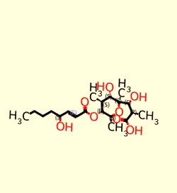 CCCC[C@H](O)/C=C/C(=O)O[C@@H]1[C@@H](C)[C@H](O)[C@@](C)([C@@H](O)[C@@H](C)C(=O)O)O[C@H]1C